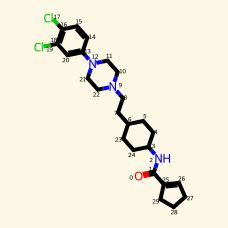 O=C(NC1CCC(CCN2CCN(c3ccc(Cl)c(Cl)c3)CC2)CC1)C1=CCCC1